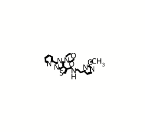 COc1nccc(CCNC(=O)c2csc3nc(-c4ccccn4)nc(N4CCOCC4)c23)n1